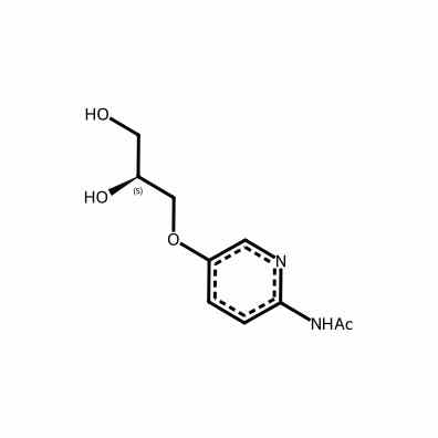 CC(=O)Nc1ccc(OC[C@@H](O)CO)cn1